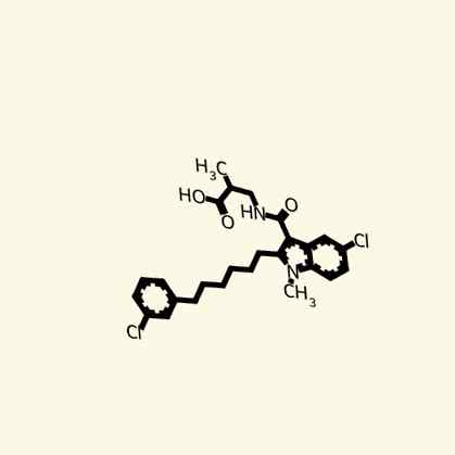 CC(CNC(=O)c1c(CCCCCCc2cccc(Cl)c2)n(C)c2ccc(Cl)cc12)C(=O)O